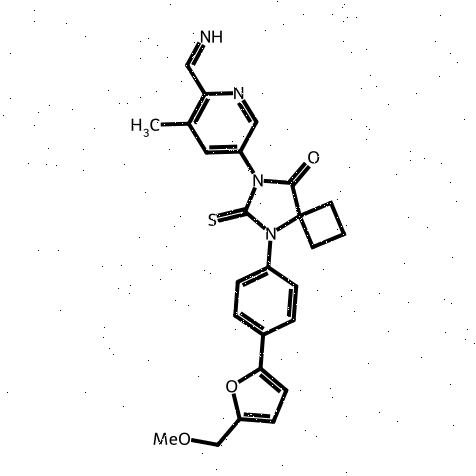 COCc1ccc(-c2ccc(N3C(=S)N(c4cnc(C=N)c(C)c4)C(=O)C34CCC4)cc2)o1